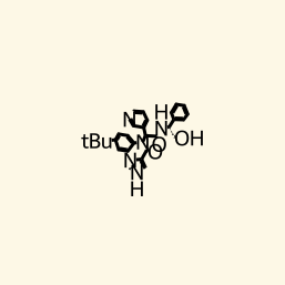 CC(C)(C)c1ccc(N(C(=O)c2c[nH]cn2)C(C(=O)N[C@@H](CO)c2ccccc2)c2cccnc2)cc1